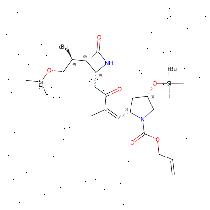 C=CCOC(=O)N1C[C@@H](O[Si](C)(C)C(C)(C)C)C[C@H]1C=C(C)C(=O)C[C@H]1NC(=O)[C@H]1[C@@H](CO[SiH](C)C)C(C)(C)C